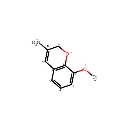 CCOc1cccc2c1OCC([N+](=O)[O-])=C2